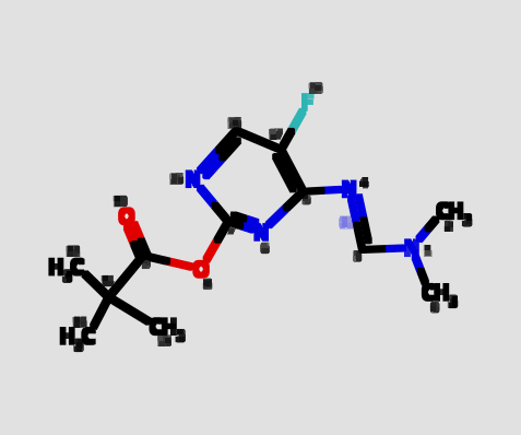 CN(C)/C=N/c1nc(OC(=O)C(C)(C)C)ncc1F